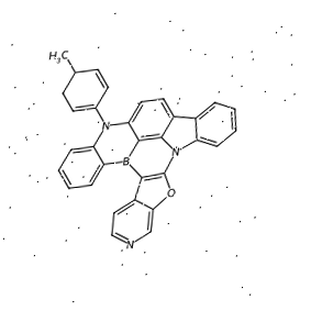 CC1C=CC(N2c3ccccc3B3c4c(oc5cnccc45)-n4c5ccccc5c5ccc2c3c54)=CC1